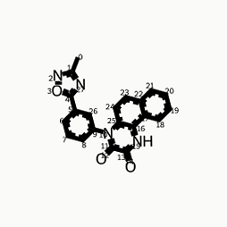 Cc1noc(-c2cccc(-n3c(=O)c(=O)[nH]c4c5ccccc5ccc43)c2)n1